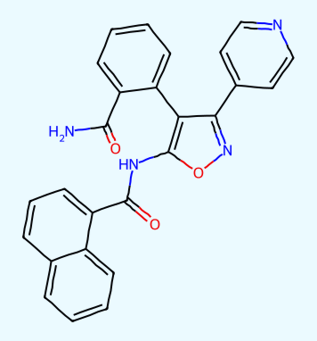 NC(=O)c1ccccc1-c1c(-c2ccncc2)noc1NC(=O)c1cccc2ccccc12